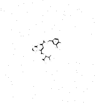 Cc1cc(CNC(=O)c2cc(C(=O)N[C@@H](C(N)=O)C(C)C)n3ncnc3n2)ccc1F